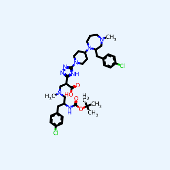 CN(CC(Cc1ccc(Cl)cc1)NC(=O)OC(C)(C)C)CC(C(=O)O)c1nnc(N2CCC(N3CCCN(C)CC3Cc3ccc(Cl)cc3)CC2)[nH]1